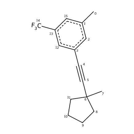 Cc1cc(C#CC2(C)CCCC2)cc(C(F)(F)F)c1